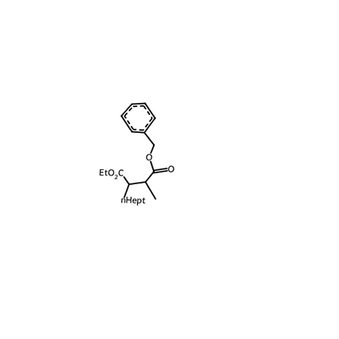 CCCCCCCC(C(=O)OCC)C(C)C(=O)OCc1ccccc1